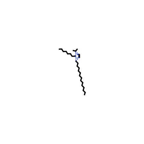 CCCCCCCCCCCCCCC[n+]1ccn(C(C)C)c1CCCCCCC